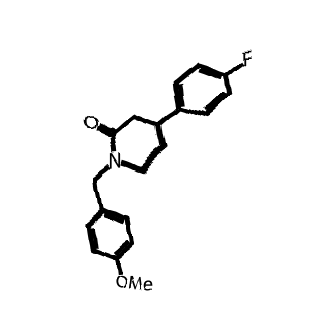 COc1ccc(CN2CCC(c3ccc(F)cc3)CC2=O)cc1